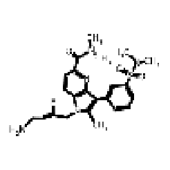 Cc1c(-c2cccc(S(=O)(=O)N(C)C)c2)c2nc(C(=O)N(C)C)ccc2n1CC(F)=CCN